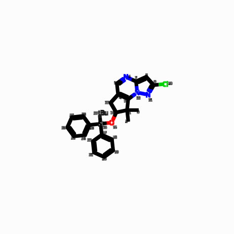 CC1(C)c2c(cnc3cc(Cl)nn23)CC1O[Si](c1ccccc1)(c1ccccc1)C(C)(C)C